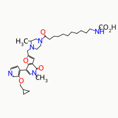 CC1CN(C(=O)CCCCCCCCCCNC(=O)O)CCN1Cc1cc2c(=O)n(C)cc(-c3ccncc3OCC3CC3)c2o1